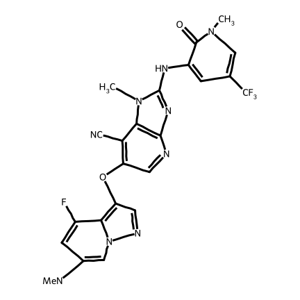 CNc1cc(F)c2c(Oc3cnc4nc(Nc5cc(C(F)(F)F)cn(C)c5=O)n(C)c4c3C#N)cnn2c1